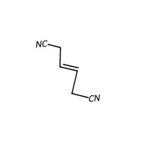 N#CCC=CCC#N